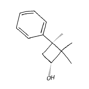 CC1(C)[C@H](O)C[C@@]1(C)c1ccccc1